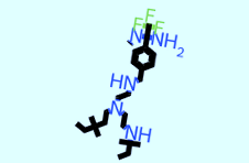 C=NC(N)(c1ccc(CNCCN(CCNC(C)(C)CC)CCC(C)(C)CC)cc1)C(F)(F)F